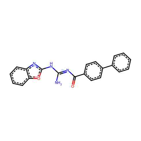 N/C(=N\C(=O)c1ccc(-c2ccccc2)cc1)Nc1nc2ccccc2o1